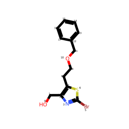 OCc1nc(Br)sc1CCOCc1ccccc1